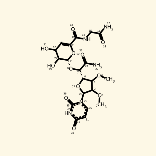 COC1C(OC)[C@@H](C(O[C@H]2OC(C(=O)NCC(N)=O)=CC(O)C2O)C(N)=O)OC1n1ccc(=O)[nH]c1=O